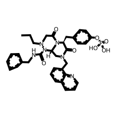 CCCN1CC(=O)N2[C@@H](Cc3ccc(OP(=O)(O)O)cc3)C(=O)N(Cc3cccc4cccnc34)C[C@@H]2N1C(=O)NCc1ccccc1